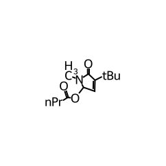 CCCC(=O)OC1C=C(C(C)(C)C)C(=O)N1C